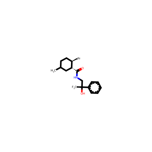 CC1CC[C@@H](C(C)C)[C@H](C(=O)NCC(O)(c2ccccc2)C(F)(F)F)C1